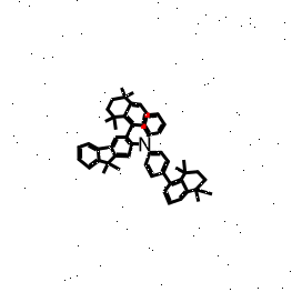 CC1(C)CCC(C)(C)c2c(-c3ccc(N(c4ccccc4)c4cc5c(cc4-c4cccc6c4C(C)(C)CCC6(C)C)-c4ccccc4C5(C)C)cc3)cccc21